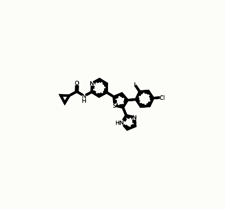 O=C(Nc1cc(-c2cc(-c3ccc(Cl)cc3I)c(-c3ncc[nH]3)s2)ccn1)C1CC1